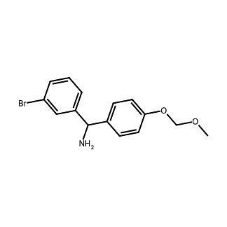 COCOc1ccc(C(N)c2cccc(Br)c2)cc1